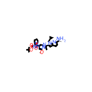 COc1cc(C(=O)N2C3CCC2[C@H](NC(=O)OC(C)(C)C)C3)cc2nc(-c3cc4ccc([C@@H](C)N)nc4n3CC3CC3)c(C)n12